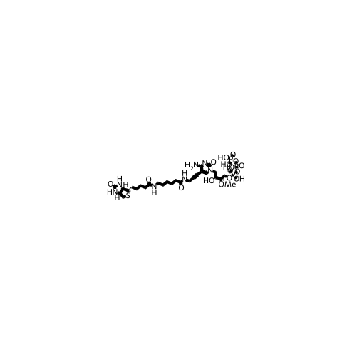 CO[C@H](COP(=O)(O)OP(=O)(O)OP(=O)(O)O)[C@@H](O)Cn1cc(C#CCNC(=O)CCCCCNC(=O)CCCC[C@@H]2SC[C@@H]3NC(=O)N[C@@H]32)c(N)nc1=O